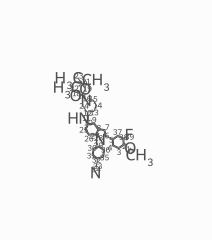 COc1ccc(-c2cc3cc(NC4CCCN(C(=O)OC(C)(C)C)C4)ccc3n2-c2ccc(C#N)cc2)cc1F